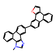 Cn1cnc2c3cc(-c4ccc5c6ccccc6c6ccoc6c5c4)ccc3c3ccccc3c21